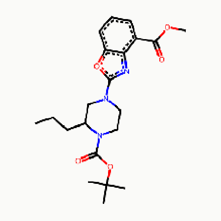 CCCC1CN(c2nc3c(C(=O)OC)cccc3o2)CCN1C(=O)OC(C)(C)C